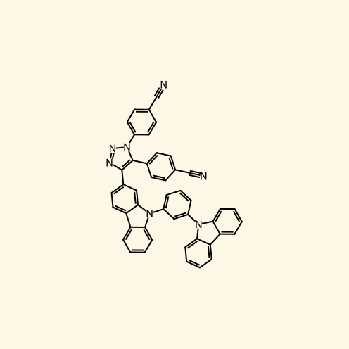 N#Cc1ccc(-c2c(-c3ccc4c5ccccc5n(-c5cccc(-n6c7ccccc7c7ccccc76)c5)c4c3)nnn2-c2ccc(C#N)cc2)cc1